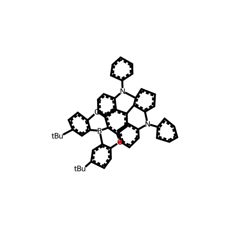 CC(C)(C)c1ccc2c(c1)B1c3cc(C(C)(C)C)ccc3Oc3cc(-c4c(N(c5ccccc5)c5ccccc5)cccc4N(c4ccccc4)c4ccccc4)cc(c31)O2